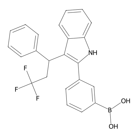 OB(O)c1cccc(-c2[nH]c3ccccc3c2C(CC(F)(F)F)c2ccccc2)c1